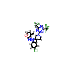 FC(F)(F)c1nc(N2CCc3c([nH]c4ccc(Cl)cc34)[C@@H]2C=C2CCOCC2)nc(C(F)(F)F)n1